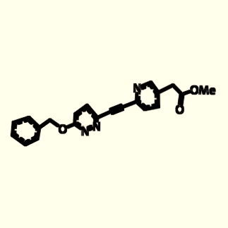 COC(=O)Cc1ccc(C#Cc2ccc(OCc3ccccc3)nn2)nc1